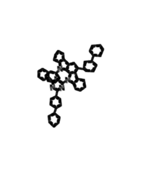 c1ccc(-c2ccc(-c3nc(-c4ccccc4)nc(-n4c5ccccc5c5c(-c6cccc(-c7ccccc7)c6)cc6c7ccccc7n(-c7ccccc7)c6c54)n3)cc2)cc1